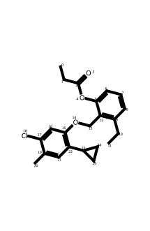 CCC(=O)Oc1cccc(CC)c1COc1cc(Cl)c(C)cc1C1CC1